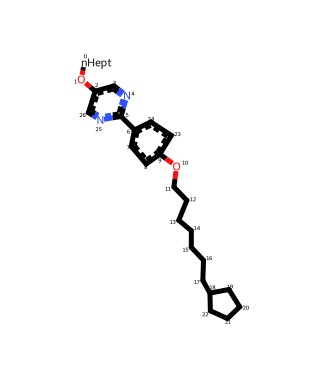 CCCCCCCOc1cnc(-c2ccc(OCCCCCCCC3CCCC3)cc2)nc1